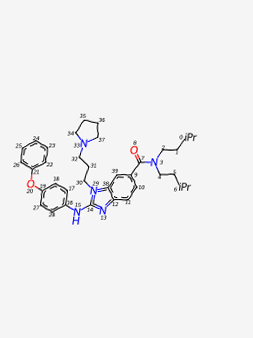 CC(C)CCN(CCC(C)C)C(=O)c1ccc2nc(Nc3ccc(Oc4ccccc4)cc3)n(CCCN3CCCC3)c2c1